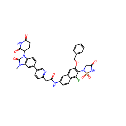 Cn1c(=O)n(C2CCC(=O)NC2=O)c2ccc(-c3ccc(CC(=O)Nc4ccc5c(F)c(N6CC(=O)NS6(=O)=O)c(OCc6ccccc6)cc5c4)nc3)cc21